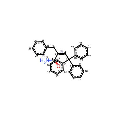 NC(=O)/C(=C\C(c1ccccc1)(c1ccccc1)c1ccccc1)Cc1ccccc1